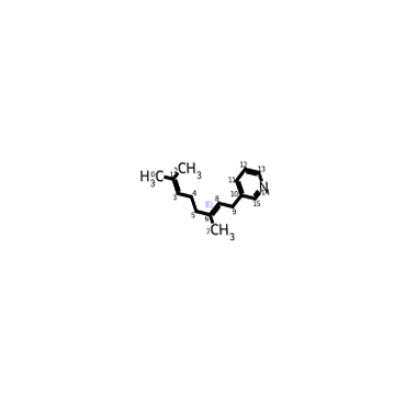 CC(C)=CCC/C(C)=C/Cc1cccnc1